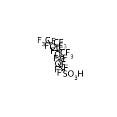 O=S(=O)(O)C(F)(F)C(F)(F)OC(F)(F)C(F)(OC(F)(F)C(F)(OC(F)(F)C(F)(F)F)C(F)(F)F)C(F)(F)F